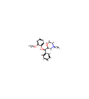 COc1ccccc1OC(c1ccccc1)C1CN(C)CCO1